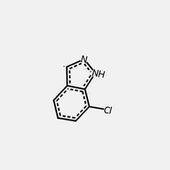 Clc1cccc2[c]n[nH]c12